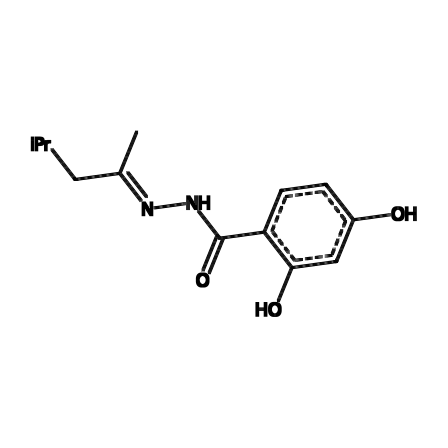 C/C(CC(C)C)=N\NC(=O)c1ccc(O)cc1O